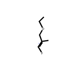 CCOC/C(C)=C/F